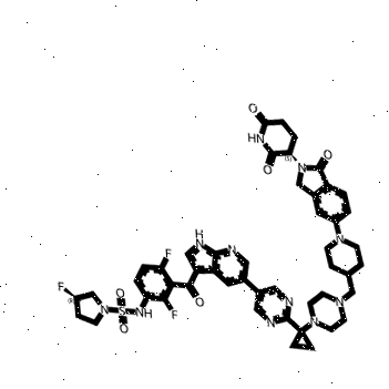 O=C1CC[C@H](N2Cc3cc(N4CCC(CN5CCN(C6(c7ncc(-c8cnc9[nH]cc(C(=O)c%10c(F)ccc(NS(=O)(=O)N%11CC[C@@H](F)C%11)c%10F)c9c8)cn7)CC6)CC5)CC4)ccc3C2=O)C(=O)N1